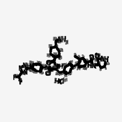 Cc1cc(C(=O)NC2CCCNC2=O)ccc1-c1ccc(C[C@H](NC(=O)C2CCC(CN)CC2)C(=O)Nc2ccc(-c3nc(C(F)F)n[nH]3)cc2)cc1.Cl